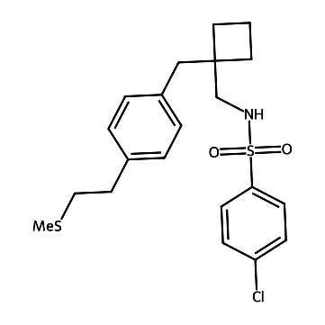 CSCCc1ccc(CC2(CNS(=O)(=O)c3ccc(Cl)cc3)CCC2)cc1